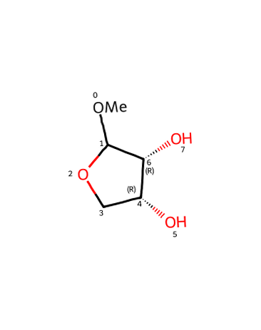 COC1OC[C@@H](O)[C@H]1O